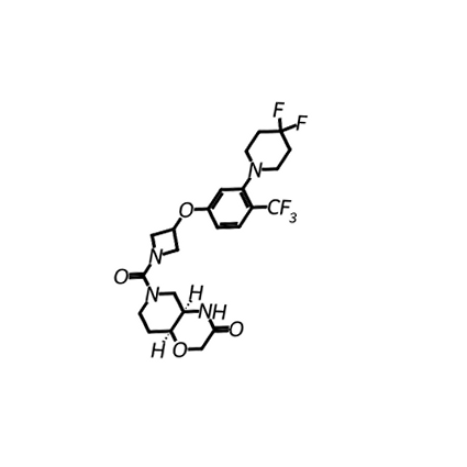 O=C1CO[C@H]2CCN(C(=O)N3CC(Oc4ccc(C(F)(F)F)c(N5CCC(F)(F)CC5)c4)C3)C[C@H]2N1